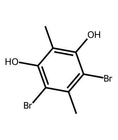 Cc1c(O)c(Br)c(C)c(Br)c1O